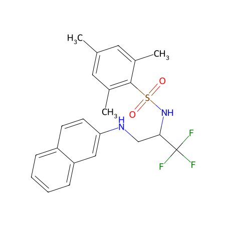 Cc1cc(C)c(S(=O)(=O)NC(CNc2ccc3ccccc3c2)C(F)(F)F)c(C)c1